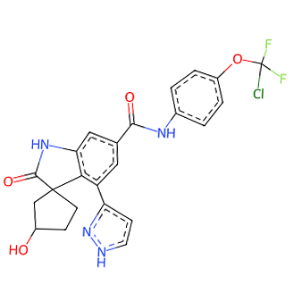 O=C(Nc1ccc(OC(F)(F)Cl)cc1)c1cc2c(c(-c3cc[nH]n3)c1)C1(CCC(O)C1)C(=O)N2